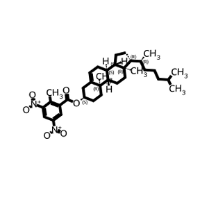 Cc1c(C(=O)O[C@H]2CC[C@@]3(C)C(=CC[C@H]4[C@@H]5CC[C@H]([C@H](C)CCCC(C)C)[C@@]5(C)CC[C@@H]43)C2)cc([N+](=O)[O-])cc1[N+](=O)[O-]